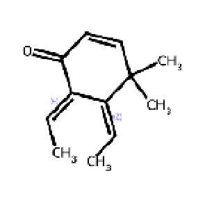 C/C=C1\C(=C/C)C(=O)C=CC1(C)C